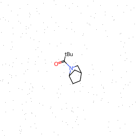 CC(C)(C)C(=O)N1CC2CCC1C2